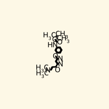 CN(C)/C=C/C(=O)c1cc(Oc2cccc(NC(=O)OC(C)(C)C)c2)ncn1